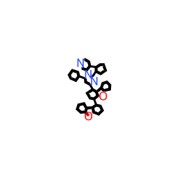 c1ccc(-c2cc(-c3ccc(-c4cccc5oc6ccccc6c45)c4oc5ccccc5c34)nc(-c3ccccc3-c3ccncc3)n2)cc1